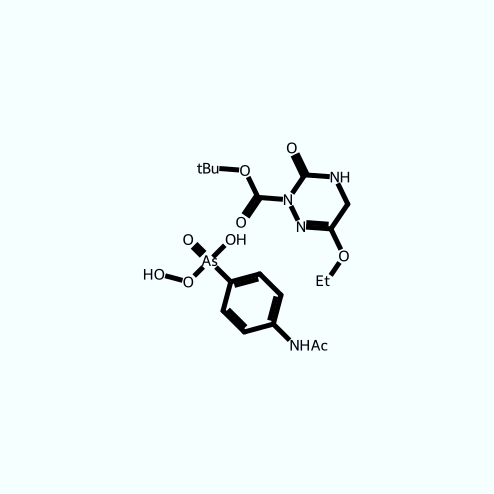 CC(=O)Nc1ccc([As](=O)(O)OO)cc1.CCOC1=NN(C(=O)OC(C)(C)C)C(=O)NC1